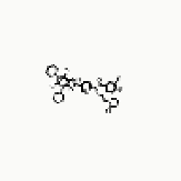 O=C1CCCN1CCCN(C(=O)c1ccc(F)c(F)c1)c1ccc(-c2nc3c([nH]2)c(=O)n(C2CCCCC2)c(=O)n3C2CCCCC2)cn1